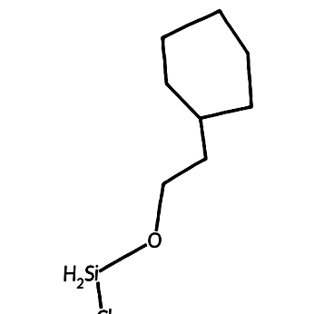 Cl[SiH2]OCCC1CCCCC1